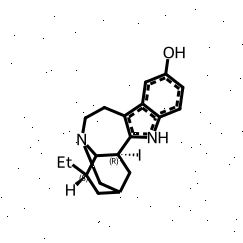 CC[C@H]1CC2CN3CCc4c([nH]c5ccc(O)cc45)[C@@](I)(C2)C13